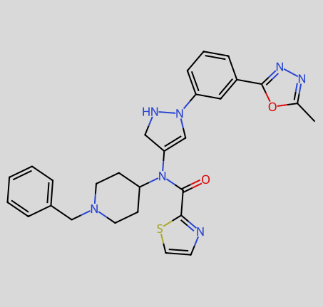 Cc1nnc(-c2cccc(N3C=C(N(C(=O)c4nccs4)C4CCN(Cc5ccccc5)CC4)CN3)c2)o1